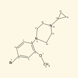 COc1cc(Br)[c]cc1N1CCN(C2CC2)CC1